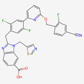 N#Cc1ccc(COc2cccc(-c3cc(F)c(Cc4nc5ccc(C(=O)O)cc5n4Cc4cncs4)cc3F)n2)c(F)c1